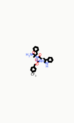 CC(Cc1ccccc1)(NC(=O)[C@H](Cc1c[nH]c2ccccc12)NC(=O)OCc1ccc(C(F)(F)F)cc1)C(N)=O